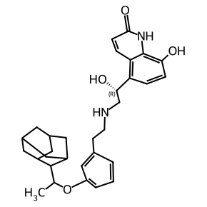 CC(Oc1cccc(CCNC[C@H](O)c2ccc(O)c3[nH]c(=O)ccc23)c1)C1C2CC3CC(C2)CC1C3